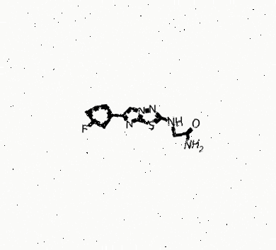 NC(=O)CNc1nn2cc(-c3cccc(F)c3)nc2s1